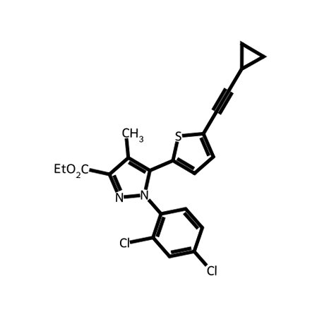 CCOC(=O)c1nn(-c2ccc(Cl)cc2Cl)c(-c2ccc(C#CC3CC3)s2)c1C